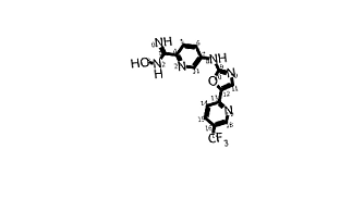 N=C(NO)c1ccc(Nc2ncc(-c3ccc(C(F)(F)F)cn3)o2)cn1